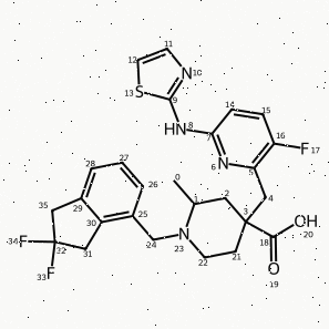 CC1CC(Cc2nc(Nc3nccs3)ccc2F)(C(=O)O)CCN1Cc1cccc2c1CC(F)(F)C2